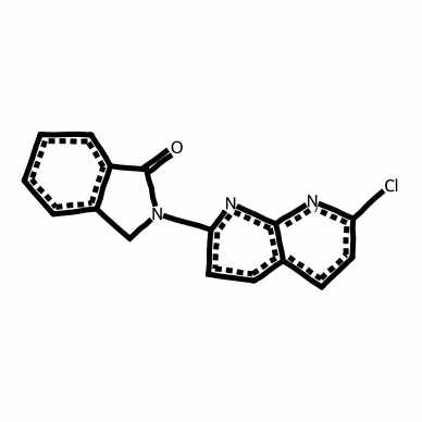 O=C1c2ccccc2CN1c1ccc2ccc(Cl)nc2n1